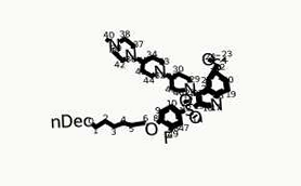 CCCCCCCCCCCCCCCCOc1ccc(S(=O)(=O)c2cnc3ccc([S@+](C)[O-])cc3c2N2CCC(N3CCC(N4CCN(C)CC4)CC3)CC2)cc1F